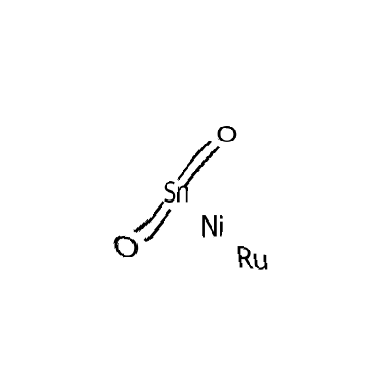 [Ni].[O]=[Sn]=[O].[Ru]